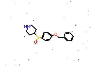 [O-][S+](c1ccc(OCc2ccccc2)cc1)C1CCNCC1